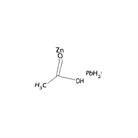 CC(=O)O.[PbH2].[Zn]